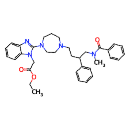 CCOC(=O)Cn1c(N2CCCN(CCC(CN(C)C(=O)c3ccccc3)c3ccccc3)CC2)nc2ccccc21